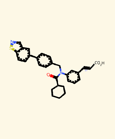 O=C(O)/C=C/c1cccc(N(Cc2ccc(-c3ccc4sncc4c3)cc2)C(=O)C2CCCCC2)c1